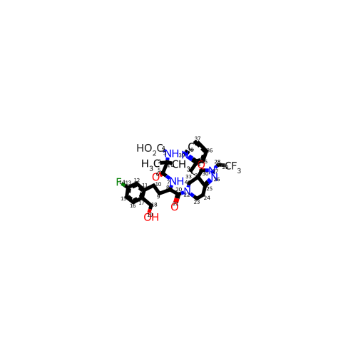 CC(C)(NC(=O)O)C(=O)NC(CCc1cc(F)ccc1CO)C(=O)N1CCC2=NN(CC(F)(F)F)C(=O)[C@]2(Cc2ccccn2)C1